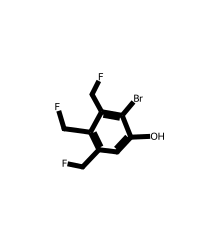 Oc1cc(CF)c(CF)c(CF)c1Br